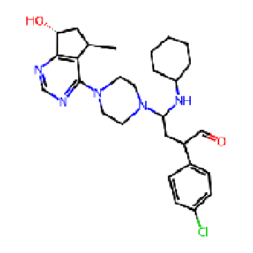 C[C@@H]1C[C@@H](O)c2ncnc(N3CCN(C(CC(C=O)c4ccc(Cl)cc4)NC4CCCCC4)CC3)c21